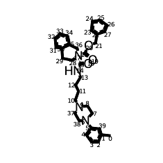 Cc1cccc(N2CCN(CCCCNC(=O)[N@+]3(C(=O)OCc4ccccc4)CCc4ccccc4C3)CC2)c1